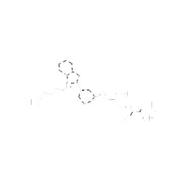 C=C(C)C(=O)OCC(O)COc1cccc(-c2cc3ccccc3n2CCCCC)c1